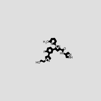 Cc1cccc(-n2nc(C(=O)Nc3cn[nH]c3)cc2-c2ccc(F)c(-c3cnn(CCO)c3)c2)n1